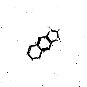 C1=Cc2cc3c(cc2CC1)OCO3